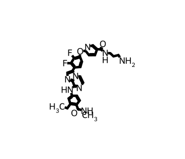 CCc1cc(Nc2nccn3c(-c4ccc(Oc5ccc(C(=O)NCCCN)cn5)c(F)c4F)cnc23)ccc1C(=O)NC